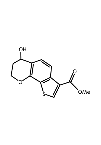 COC(=O)c1csc2c3c(ccc12)C(O)CCO3